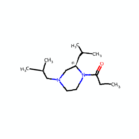 CCC(=O)N1CCN(C[C](C)C)C[C@H]1C(C)C